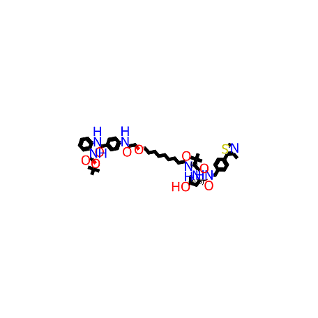 Cc1ncsc1-c1ccc(CNC(=O)[C@@H]2C[C@@H](O)CN2C(=O)[C@@H](NC(=O)CCCCCCCCOCC(=O)Nc2ccc(C(=O)Nc3ccccc3NC(=O)OC(C)(C)C)cc2)C(C)(C)C)cc1